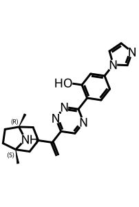 C=C(c1cnc(-c2ccc(-n3ccnc3)cc2O)nn1)C1C[C@]2(C)CC[C@](C)(C1)N2